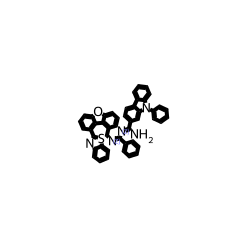 N/C(=N\C(=N/Cc1cccc2oc3cccc(-c4nc5ccccc5s4)c3c12)c1ccccc1)c1ccc2c3ccccc3n(-c3ccccc3)c2c1